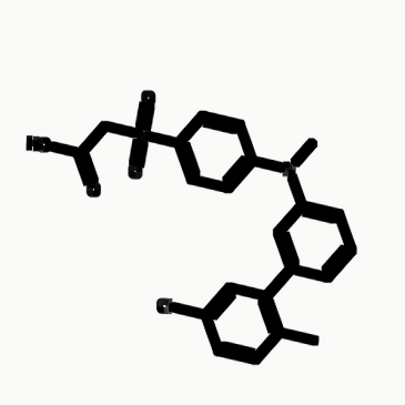 Cc1ccc(Cl)cc1-c1cccc(N(C)c2ccc(S(=O)(=O)CC(=O)O)cc2)c1